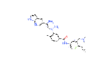 C\C=C(/C=C(CN(C)C)\C(F)=C\C(F)(F)F)NC(=O)c1ccc(C)c(N(N)/C=C(\N)c2cnc3[nH]ccc3c2)c1